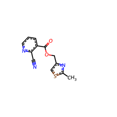 Cc1nc(COC(=O)c2cccnc2C#N)cs1